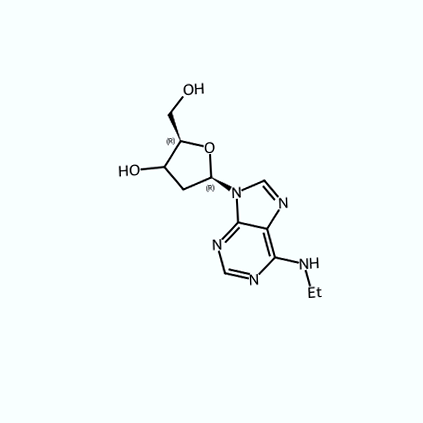 CCNc1ncnc2c1ncn2[C@H]1CC(O)[C@@H](CO)O1